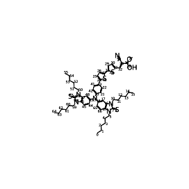 CCCCCCn1c(=S)n(CCCCCC)c2cc(N(c3ccc(-c4ccc(-c5ccc(/C=C(\C#N)C(=O)O)s5)s4)cc3)c3ccc4c(c3)n(CCCCCC)c(=S)n4CCCCCC)ccc21